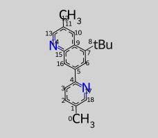 Cc1ccc(-c2cc(C(C)(C)C)c3cc(C)cnc3c2)nc1